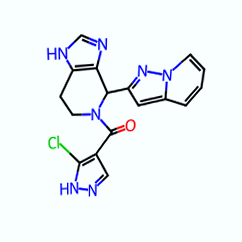 O=C(c1cn[nH]c1Cl)N1CCc2[nH]cnc2C1c1cc2ccccn2n1